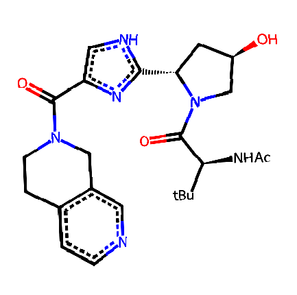 CC(=O)N[C@H](C(=O)N1C[C@H](O)C[C@H]1c1nc(C(=O)N2CCc3ccncc3C2)c[nH]1)C(C)(C)C